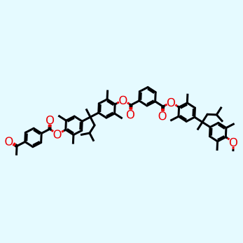 COc1c(C)cc(C(C)(CC(C)C)c2cc(C)c(OC(=O)c3cccc(C(=O)Oc4c(C)cc(C(C)(CC(C)C)c5cc(C)c(OC(=O)c6ccc(C(C)=O)cc6)c(C)c5)cc4C)c3)c(C)c2)cc1C